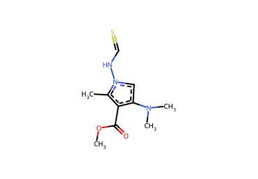 COC(=O)c1c(N(C)C)cn(NC=S)c1C